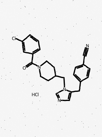 Cl.N#Cc1ccc(Cc2cncn2CC2CCN(C(=O)c3cccc(Cl)c3)CC2)cc1